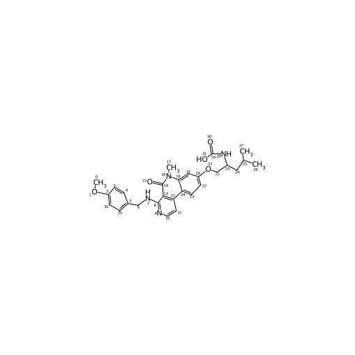 COc1ccc(CNc2nccc3c2c(=O)n(C)c2cc(OCC(CC(C)C)NC(=O)O)ccc32)cc1